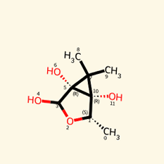 C[C@@H]1OC(O)[C@@]2(O)C(C)(C)[C@@]12O